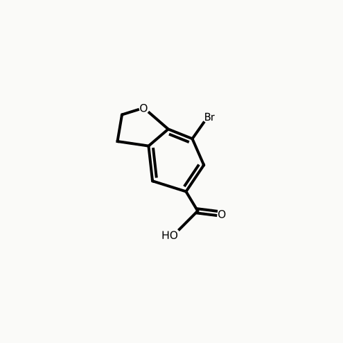 O=C(O)c1cc(Br)c2c(c1)CCO2